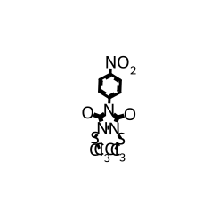 O=c1n(-c2ccc([N+](=O)[O-])cc2)c(=O)n(SC(Cl)(Cl)Cl)n1SC(Cl)(Cl)Cl